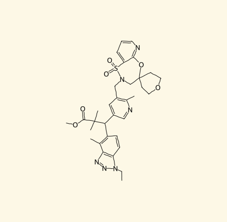 CCn1nnc2c(C)c(C(c3cnc(C)c(CN4CC5(CCOCC5)Oc5ncccc5S4(=O)=O)c3)C(C)(C)C(=O)OC)ccc21